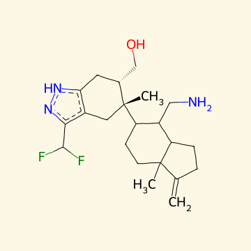 C=C1CCC2C(CN)C([C@]3(C)Cc4c(C(F)F)n[nH]c4C[C@@H]3CO)CCC12C